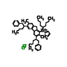 CCCC[C](CCCC)=[Zr+2]([C]1=CC=CC1)[c]1c(C)c(C(CCC)Cc2ccccc2)cc2c1Cc1cc(C)c(C(CCC)Cc3ccccc3)cc1-2.[Cl-].[Cl-]